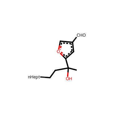 CCCCCCCCCC(C)(O)c1cc(C=O)co1